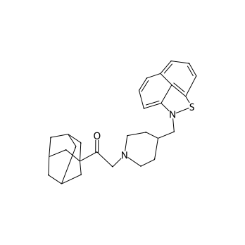 O=C(CN1CCC(CN2Sc3cccc4cccc2c34)CC1)C12CC3CC(CC(C3)C1)C2